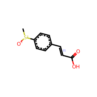 C[S+]([O-])c1ccc(/C=C/C(=O)O)cc1